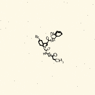 C=CC(=O)N1CC(NC(=O)Cn2cc(C(=O)N[C@@H](CO)Cc3ccccc3)c3cc(Br)ccc32)C1